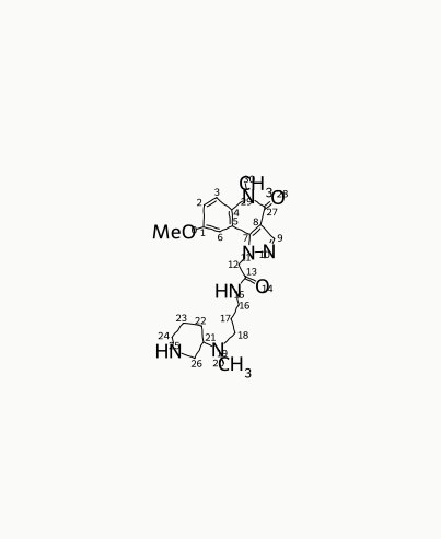 COc1ccc2c(c1)c1c(cnn1CC(=O)NCCCN(C)C1CCCNC1)c(=O)n2C